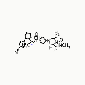 CNC(=O)N1C(C)CN(c2ccc(N(C)/C=C(/C)c3c(C=O)cccc3-c3ccc(C#N)cc3)cc2)CC1C